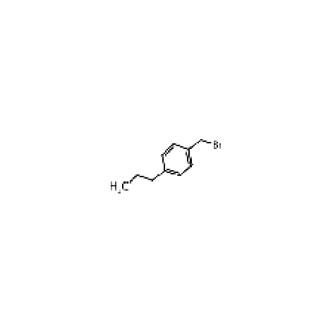 CCCc1ccc(CBr)cc1